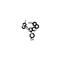 Oc1ccc2c(c1)C1(CCC2)Cc2nc(OC[C@@]34CCCN3C[C@H](F)C4)nc(N3CCCC(O)CC3)c2CO1